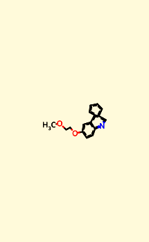 COCCOc1ccc2ncc3ccccc3c2c1